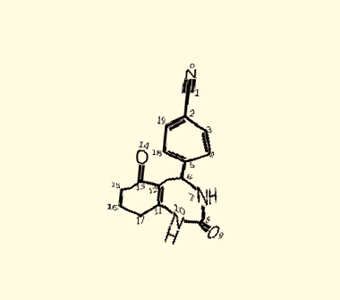 N#Cc1ccc(C2NC(=O)NC3=C2C(=O)CCC3)cc1